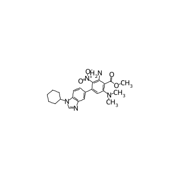 COC(=O)c1c(N(C)C)cc(-c2ccc3c(c2)ncn3C2CCCCC2)c([N+](=O)[O-])c1N